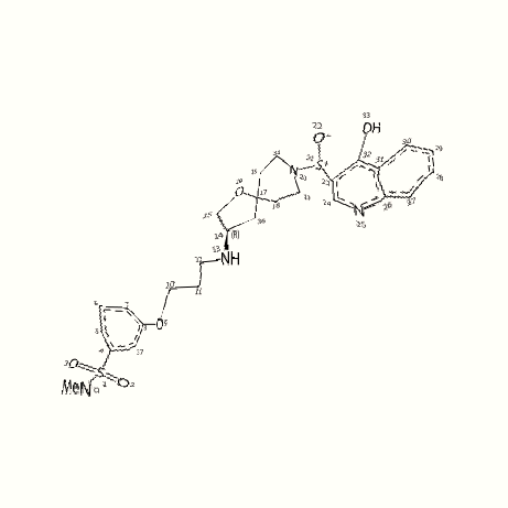 CNS(=O)(=O)c1cccc(OCCCN[C@H]2COC3(CCN([S+]([O-])c4cnc5ccccc5c4O)CC3)C2)c1